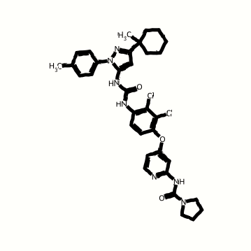 Cc1ccc(-n2nc(C3(C)CCCCC3)cc2NC(=O)Nc2ccc(Oc3ccnc(NC(=O)N4CCCC4)c3)c(Cl)c2Cl)cc1